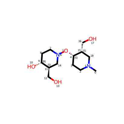 CN1CC[C@H](ON2CC[C@@H](O)[C@H](CO)C2)[C@H](CO)C1